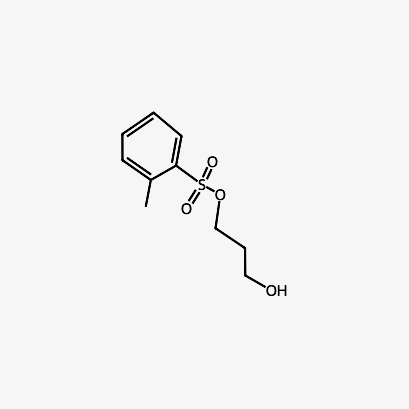 Cc1ccccc1S(=O)(=O)OCCCO